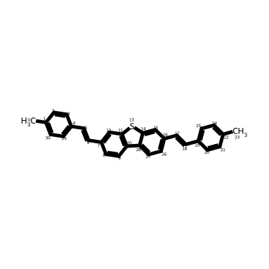 Cc1ccc(C=Cc2ccc3c(c2)sc2cc(C=Cc4ccc(C)cc4)ccc23)cc1